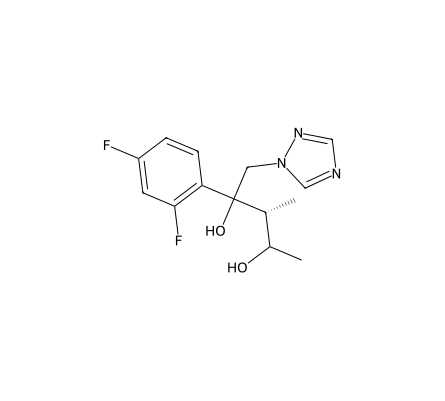 CC(O)[C@@H](C)C(O)(Cn1cncn1)c1ccc(F)cc1F